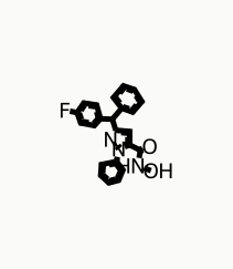 O=C(NO)c1cc(C(c2ccccc2)c2ccc(F)cc2)nn1-c1ccccc1